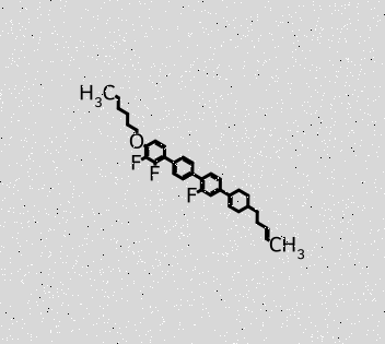 C/C=C/CCC1CC=C(c2ccc(-c3ccc(-c4ccc(OCCCCCC)c(F)c4F)cc3)c(F)c2)CC1